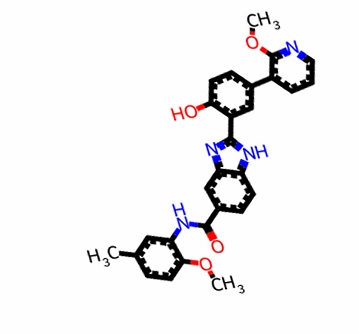 COc1ccc(C)cc1NC(=O)c1ccc2[nH]c(-c3cc(-c4cccnc4OC)ccc3O)nc2c1